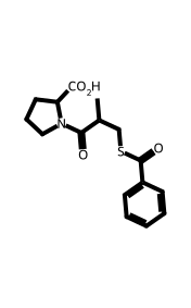 CC(CSC(=O)c1ccccc1)C(=O)N1CCCC1C(=O)O